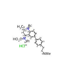 CNCCc1ccc(-c2ccc3c(c2)[C@H](N(C(=O)O)C(C)C)C[C@H](C)N3C(C)=O)cc1.Cl